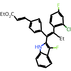 CCOC(=O)/C=C/c1ccc(/C(=C(/CC)c2ccc(F)cc2Cl)c2[nH]c3ccccc3c2F)cc1